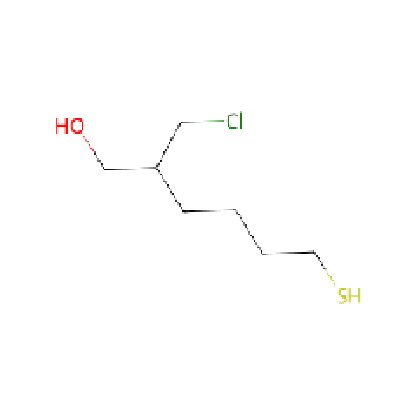 OCC(CCl)CCCCS